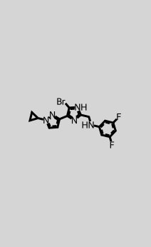 Fc1cc(F)cc(NCc2nc(-c3ccn(C4CC4)n3)c(Br)[nH]2)c1